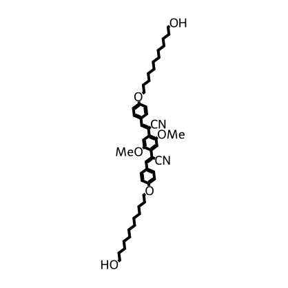 COc1cc(C(C#N)=Cc2ccc(OCCCCCCCCCCCCO)cc2)c(OC)cc1C(C#N)=Cc1ccc(OCCCCCCCCCCCCO)cc1